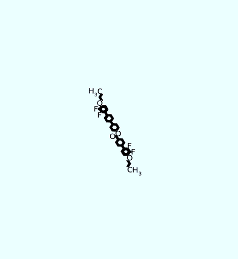 CCCCOc1ccc(C2=CCC(C3CCC(OC(=O)C4CCC(c5ccc(OCCCC)c(F)c5F)CC4)CC3)CC2)c(F)c1F